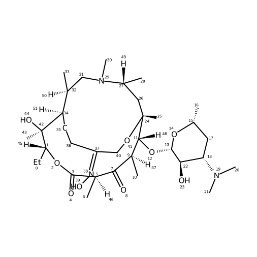 CC[C@H]1OC(=O)[C@H](C)C(=O)[C@H](C)[C@@H](O[C@@H]2O[C@H](C)C[C@H](N(C)C)[C@H]2O)[C@@]2(C)C[C@@H](C)N(C)C[C@H](C)[C@@H](CC/C(=N\O)CO2)[C@]1(C)O